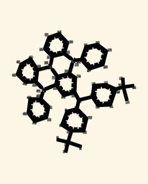 CC(C)(C)c1ccc(C(c2ccc(C(C)(C)C)cc2)c2cc3c4c(c2)N(c2ccccc2)c2ccccc2B4c2ccccc2N3c2ccccc2)cc1